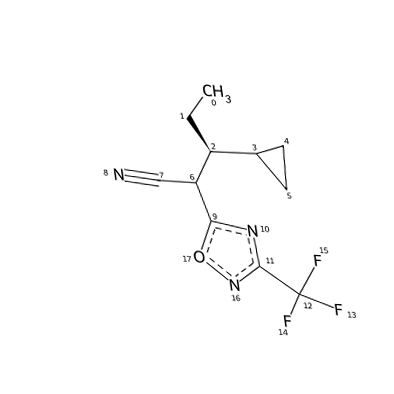 CC[C@@H](C1CC1)C(C#N)c1nc(C(F)(F)F)no1